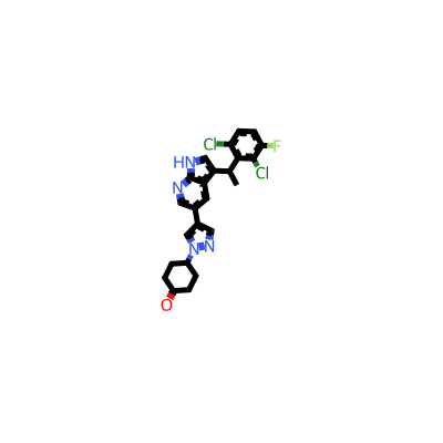 CC(c1c(Cl)ccc(F)c1Cl)c1c[nH]c2ncc(-c3cnn(C4CCC(=O)CC4)c3)cc12